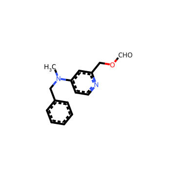 CN(Cc1ccccc1)c1ccnc(COC=O)c1